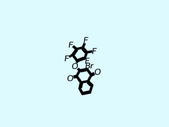 O=C1C(Br)=C(Oc2c(F)c(F)c(F)c(F)c2F)C(=O)c2ccccc21